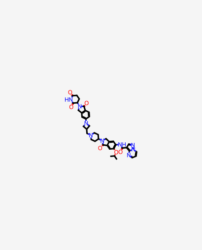 CC(C)Oc1cc2c(cc1NC(=O)c1cnn3cccnc13)CN(C1CCN(CC3CN(c4ccc5c(c4)CN(C4CCC(=O)NC4=O)C5=O)C3)CC1)C2=O